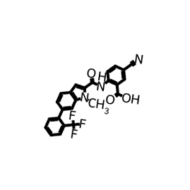 Cn1c(C(=O)Nc2ccc(C#N)cc2C(=O)O)cc2ccc(-c3ccccc3C(F)(F)F)cc21